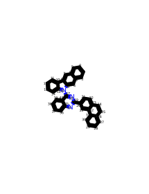 c1ccc2cc3c(cc2c1)c1ccccc1n3-c1nc(-c2ccc3ccc4ccccc4c3c2)nc2ccccc12